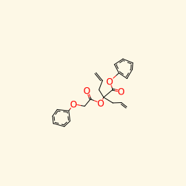 C=CCC(CC=C)(OC(=O)COc1ccccc1)C(=O)Oc1ccccc1